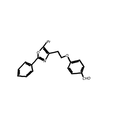 CC(C)c1oc(-c2ccccc2)nc1CCOc1ccc(C=O)cc1